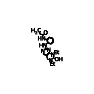 C=CC(=O)Nc1ccccc1Nc1ncc2c(n1)N(CC)C(O)N(CC)C2